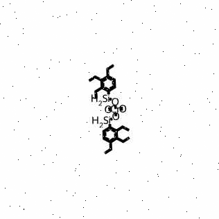 CCc1ccc([SiH2][O][Cr](=[O])(=[O])[O][SiH2]c2ccc(CC)c(CC)c2CC)c(CC)c1CC